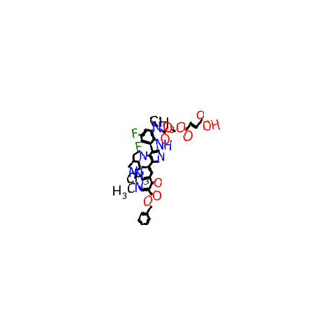 CN1CC2CCN(c3c(-c4cnc5c(c4)c(=O)c(C(=O)OCc4ccccc4)cn5C)cnc4[nH]c5c(N(C)C(=O)OCOC(=O)/C=C/C(=O)O)cc(F)c(F)c5c34)C2C1